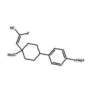 CCCCCCCc1ccc(C2CCC(C=C(F)C#N)(OC)CC2)cc1